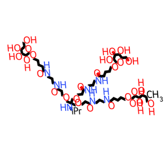 CC(C)NC(COCCC(=O)NCCCNC(=O)CCCCOC(O)C(O)C(O)C(O)C(C)CO)(COCCC(=O)NCCCNC(=O)CCCCOC1OC(CO)C(O)C(O)C1O)COCCC(=O)NCCCNC(=O)CCCCOC1OC(CO)C(O)C(O)C1O